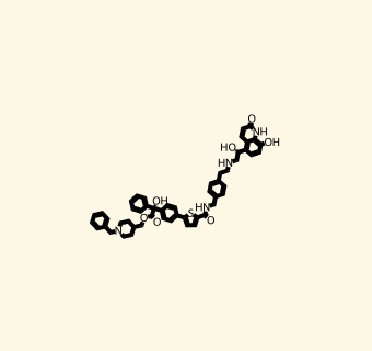 O=C(NCc1ccc(CCNC[C@H](O)c2ccc(O)c3[nH]c(=O)ccc23)cc1)c1ccc(-c2ccc([C@](O)(C(=O)OCC3CCN(Cc4ccccc4)CC3)c3ccccc3)cc2)s1